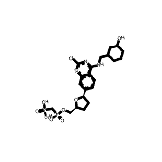 O=P(O)(O)CP(=O)(O)OC[C@@H]1CC[C@H](c2ccc3c(NCC4CCCC(O)C4)nc(Cl)nc3c2)O1